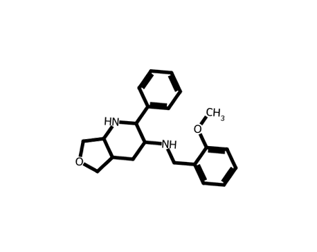 COc1ccccc1CNC1CC2COCC2NC1c1ccccc1